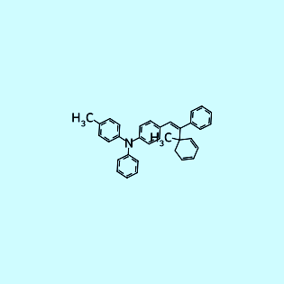 Cc1ccc(N(c2ccccc2)c2ccc(/C=C(/c3ccccc3)C3(C)C=CC=CC3)cc2)cc1